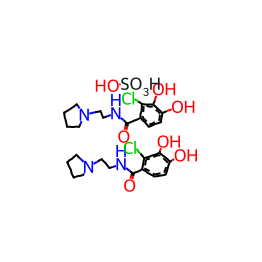 O=C(NCCN1CCCC1)c1ccc(O)c(O)c1Cl.O=C(NCCN1CCCC1)c1ccc(O)c(O)c1Cl.O=S(=O)(O)O